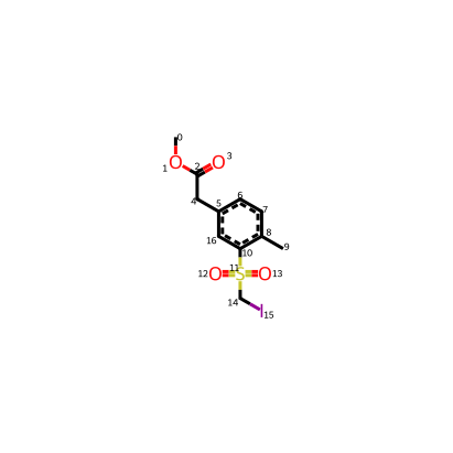 COC(=O)Cc1ccc(C)c(S(=O)(=O)CI)c1